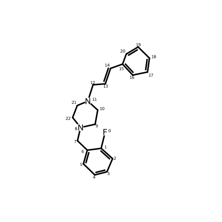 Fc1ccccc1CN1CCN(C/C=C/c2ccccc2)CC1